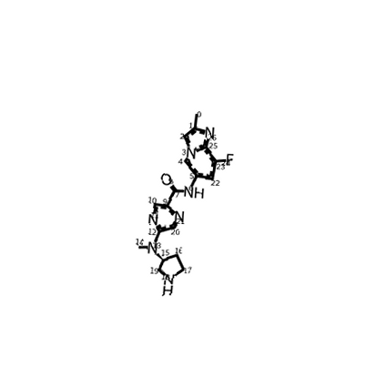 Cc1cn2cc(NC(=O)c3cnc(N(C)[C@H]4CCNC4)cn3)cc(F)c2n1